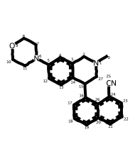 CN1Cc2cc(N3CCOCC3)ccc2C(c2cccc3cccc(C#N)c23)C1